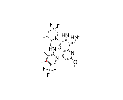 C\C=C(/C=N\C(NCC1C(C)CC(F)(F)CN1C(=O)C(=N)/C(=C\NC)c1cccc(OC)n1)=C(\C)CC)C(F)(F)F